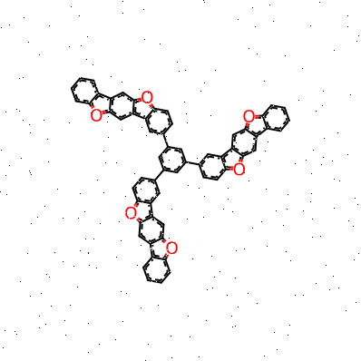 c1ccc2c(c1)oc1cc3c(cc12)oc1ccc(-c2cc(-c4ccc5oc6cc7c(cc6c5c4)oc4ccccc47)cc(-c4ccc5oc6cc7c(cc6c5c4)oc4ccccc47)c2)cc13